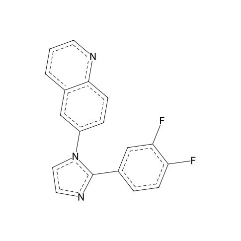 Fc1ccc(-c2nccn2-c2ccc3ncccc3c2)cc1F